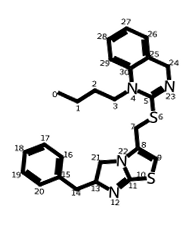 CCCCN1C(SCC2=CSC3=NC(Cc4ccccc4)CN23)=NCc2ccccc21